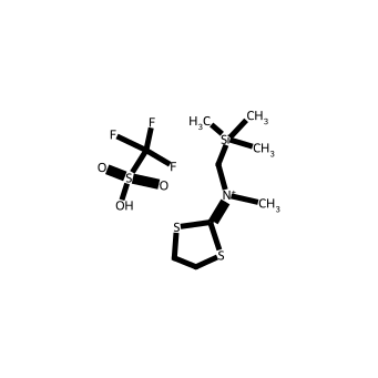 C[N+](C[Si](C)(C)C)=C1SCCS1.O=S(=O)(O)C(F)(F)F